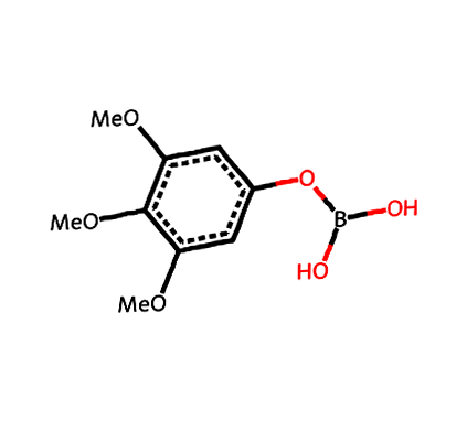 COc1cc(OB(O)O)cc(OC)c1OC